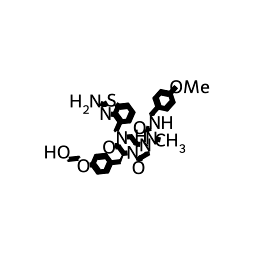 COc1ccc(CNC(=O)N(C)N2CC(=O)N3[C@@H](Cc4ccc(OCCO)cc4)C(=O)N(Cc4cccc5sc(N)nc45)C[C@@H]32)cc1